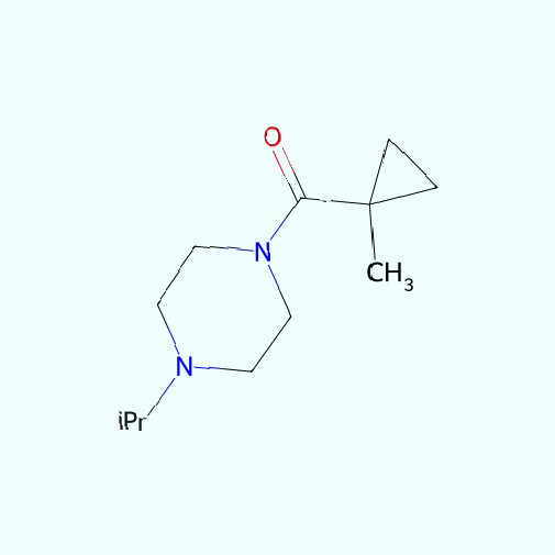 CC(C)N1CCN(C(=O)C2(C)CC2)CC1